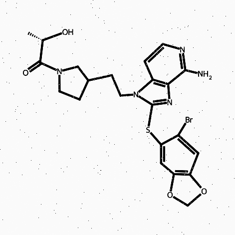 C[C@H](O)C(=O)N1CCC(CCn2c(Sc3cc4c(cc3Br)OCO4)nc3c(N)nccc32)C1